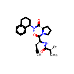 C#CC[C@H](NC(=O)[C@H](CC)NC)C(=O)N1CCC[C@H]1C(=O)N[C@@H]1CCCc2ccccc21